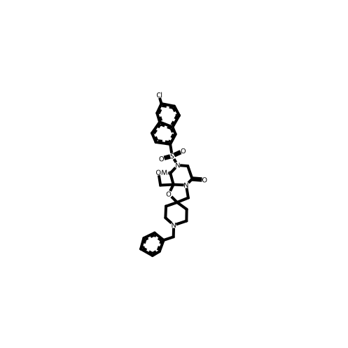 COCC12CN(S(=O)(=O)c3ccc4cc(Cl)ccc4c3)CC(=O)N1CC1(CCN(Cc3ccccc3)CC1)O2